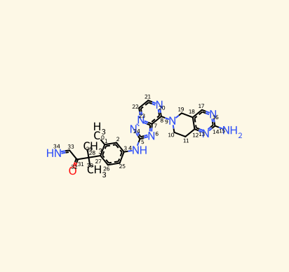 Cc1cc(Nc2nc3c(N4CCc5nc(N)ncc5C4)nccn3n2)ccc1C(C)(C)C(=O)C=N